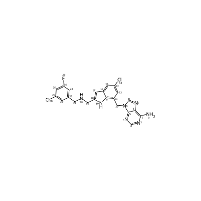 Nc1ncnc2c1ncn2Cc1cc(Cl)cc2cc(CNCc3cc(F)cc(Cl)c3)[nH]c12